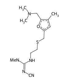 CN/C(=N/C#N)NCCSCc1cc(C)c(CN(C)C)o1